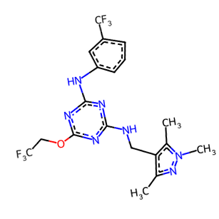 Cc1nn(C)c(C)c1CNc1nc(Nc2cccc(C(F)(F)F)c2)nc(OCC(F)(F)F)n1